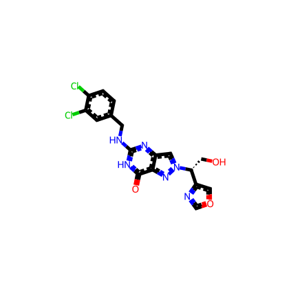 O=c1[nH]c(NCc2ccc(Cl)c(Cl)c2)nc2cn([C@H](CO)c3cocn3)nc12